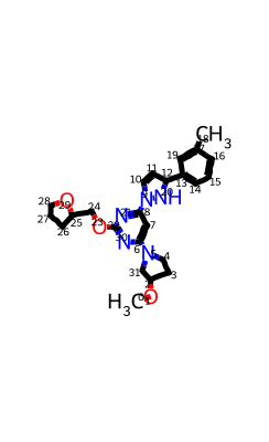 COC1CCN(c2cc(N3C=CC(c4cccc(C)c4)N3)nc(OCC3CCCO3)n2)C1